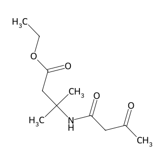 CCOC(=O)CC(C)(C)NC(=O)CC(C)=O